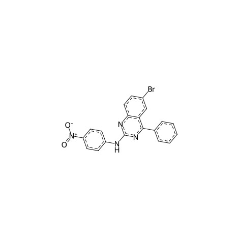 O=[N+]([O-])c1ccc(Nc2nc(-c3ccccc3)c3cc(Br)ccc3n2)cc1